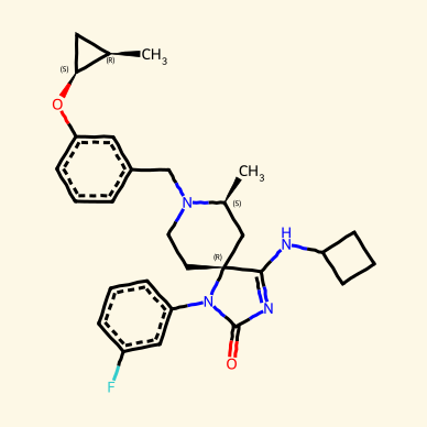 C[C@@H]1C[C@@H]1Oc1cccc(CN2CC[C@@]3(C[C@@H]2C)C(NC2CCC2)=NC(=O)N3c2cccc(F)c2)c1